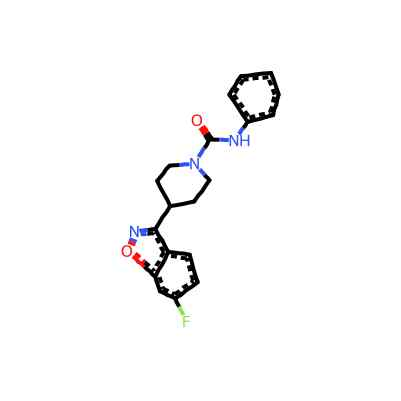 O=C(Nc1ccccc1)N1CCC(c2noc3cc(F)ccc23)CC1